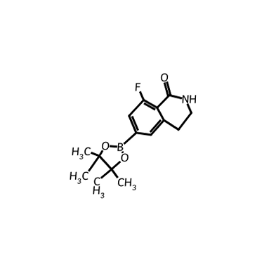 CC1(C)OB(c2cc(F)c3c(c2)CCNC3=O)OC1(C)C